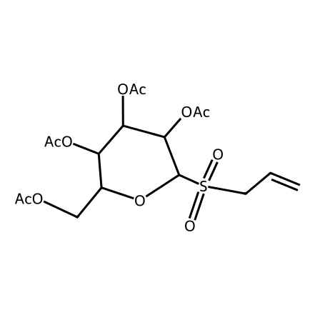 C=CCS(=O)(=O)C1OC(COC(C)=O)C(OC(C)=O)C(OC(C)=O)C1OC(C)=O